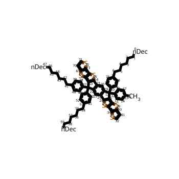 CCCCCCCCCCCCCCCCc1ccc(C2(c3ccc(C)cc3)c3cc4c(cc3-c3sc5c(sc6ccsc65)c32)C(c2ccc(CCCCCCCCCCCCCCCC)cc2)(c2ccc(CCCCCCCCCCCCCCCC)cc2)c2c-4sc3c2sc2ccsc23)cc1